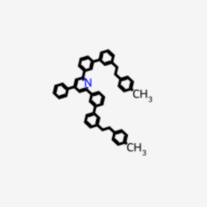 Cc1ccc(CCc2cccc(-c3cccc(-c4cc(-c5ccccc5)cc(-c5cccc(-c6cccc(CCc7ccc(C)cc7)c6)c5)n4)c3)c2)cc1